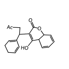 CC(=O)CC(C1=CCCC=C1)C1=C(O)C2C=CC=CC2OC1=O